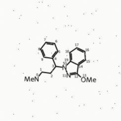 CNCCC(c1ccccc1)n1nc(OC)c2ccccc21